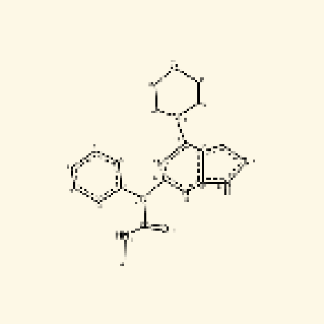 CNC(=O)N(c1ccccc1)c1nc(N2CCOCC2)c2cn[nH]c2n1